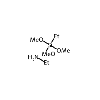 CCN.CC[Si](OC)(OC)OC